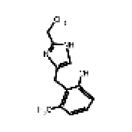 CCc1nc(Cc2c(C)cccc2C)c[nH]1